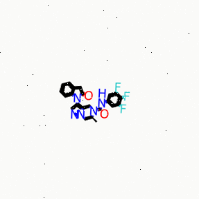 C[C@H]1Cn2ncc(N3C(=O)Cc4ccccc43)c2CN1C(=O)Nc1cc(F)c(F)c(F)c1